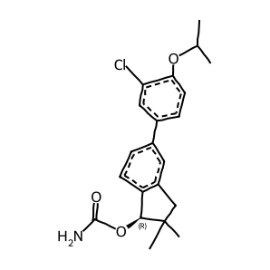 CC(C)Oc1ccc(-c2ccc3c(c2)CC(C)(C)[C@H]3OC(N)=O)cc1Cl